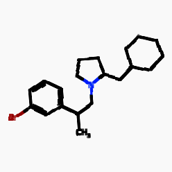 CC(CN1CCCC1CC1CCCCC1)c1cccc(Br)c1